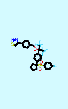 O=S(=O)(c1ccc(F)cc1)C1(c2ccc(C(OCc3ccc(-c4csnn4)cc3)(C(F)(F)F)C(F)(F)F)cc2)CCCC1